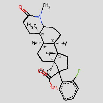 CN1C(=O)CC[C@@]2(C)C1CC[C@@H]1[C@H]2CC[C@@]2(C)[C@H]1CCC2(C(=O)O)c1ccccc1F